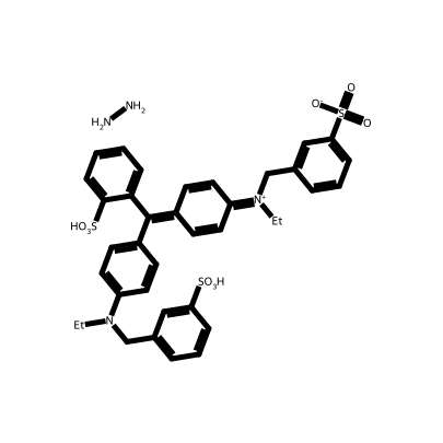 CCN(Cc1cccc(S(=O)(=O)O)c1)c1ccc(C(=C2C=CC(=[N+](CC)Cc3cccc(S(=O)(=O)[O-])c3)C=C2)c2ccccc2S(=O)(=O)O)cc1.NN